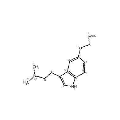 CCCCCCCCCCCOc1ccc2[nH]cc(CCN(C)C)c2c1